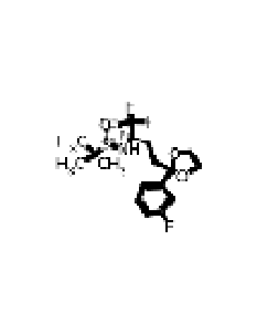 CC(C)(C)[S@+]([O-])N[C@H](CCC1(c2cccc(F)c2)OCCO1)C(F)(F)F